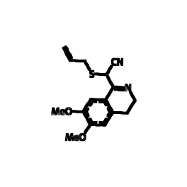 C=CCSC(C#N)C1=NCCc2cc(OC)c(OC)cc21